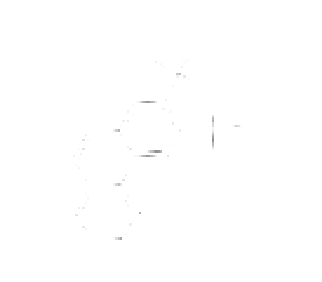 ClC(Cl)(Cl)c1cc2ccc3cccnc3c2nc1C(Cl)(Cl)Cl